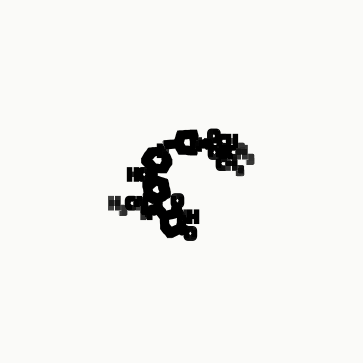 Cn1nc(C2CCC(=O)NC2=O)c2ccc(C3(O)CCN(CC4CCN(C(=O)OC(C)(C)C)CC4)CC3)cc21